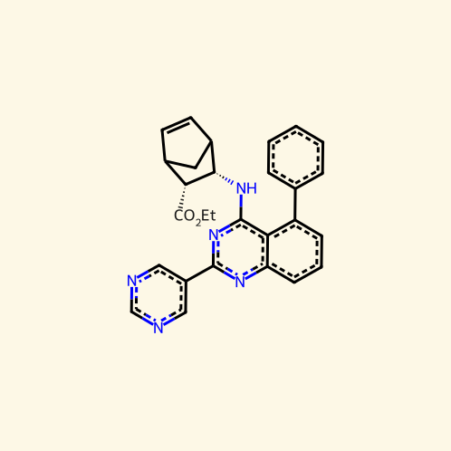 CCOC(=O)[C@@H]1C2C=CC(C2)[C@@H]1Nc1nc(-c2cncnc2)nc2cccc(-c3ccccc3)c12